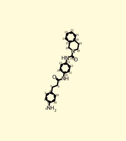 Nc1ccc(CCC(=O)Nc2ccc(NC(=O)N3CCc4ccccc4C3)cc2)cc1